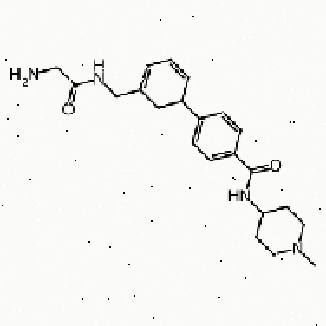 CN1CCC(NC(=O)c2ccc(C3C=CC=C(CNC(=O)CN)C3)cc2)CC1